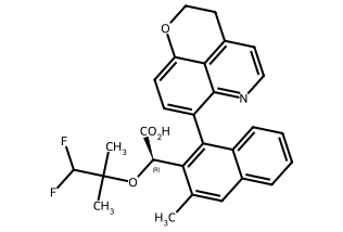 Cc1cc2ccccc2c(-c2ccc3c4c(ccnc24)CCO3)c1[C@@H](OC(C)(C)C(F)F)C(=O)O